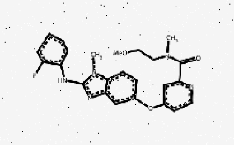 COCCN(C)C(=O)c1cc(Oc2ccc3c(c2)nc(Nc2ccccc2F)n3C)ccn1